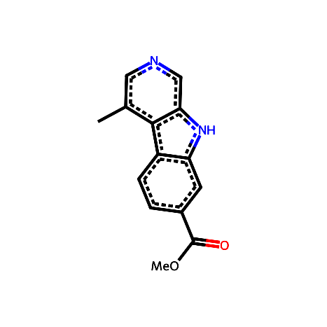 COC(=O)c1ccc2c(c1)[nH]c1cncc(C)c12